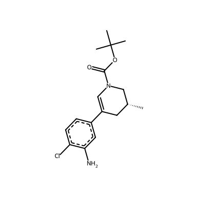 C[C@@H]1CC(c2ccc(Cl)c(N)c2)=CN(C(=O)OC(C)(C)C)C1